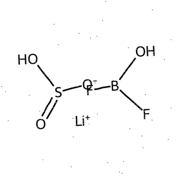 O=S([O-])O.OB(F)F.[Li+]